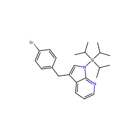 CC(C)[Si](C(C)C)(C(C)C)n1cc(Cc2ccc(Br)cc2)c2cccnc21